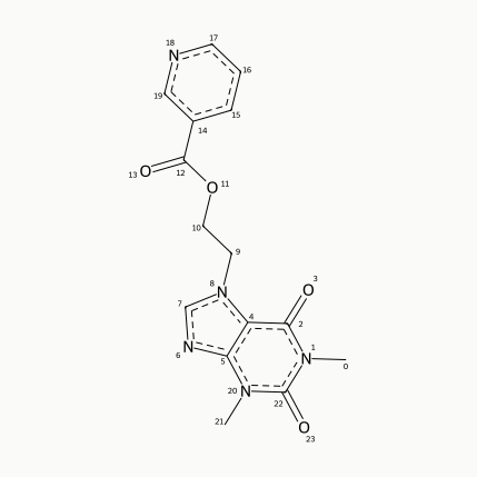 Cn1c(=O)c2c(ncn2CCOC(=O)c2cccnc2)n(C)c1=O